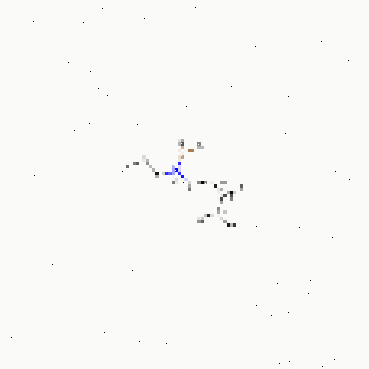 CCCN(CC[SiH](C)C(C)C)SC